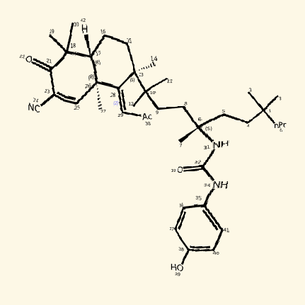 CCCC(C)(C)CC[C@@](C)(CCC(C)(C)[C@]1(C)CC[C@H]2C(C)(C)C(=O)C(C#N)=C[C@]2(C)/C1=C/C(C)=O)NC(=O)Nc1ccc(O)cc1